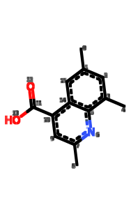 Cc1cc(C)c2nc(C)cc(C(=O)O)c2c1